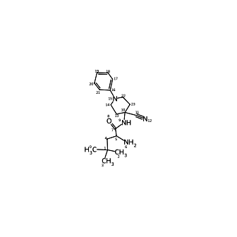 CC(C)(C)CC(N)C(=O)NC1(C#N)CCN(c2ccccc2)CC1